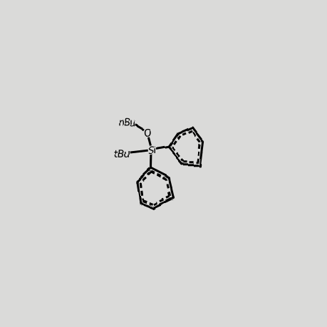 CCCCO[Si](c1ccccc1)(c1ccccc1)C(C)(C)C